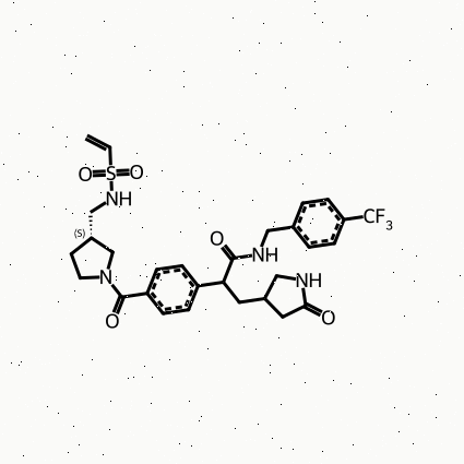 C=CS(=O)(=O)NC[C@H]1CCN(C(=O)c2ccc(C(CC3CNC(=O)C3)C(=O)NCc3ccc(C(F)(F)F)cc3)cc2)C1